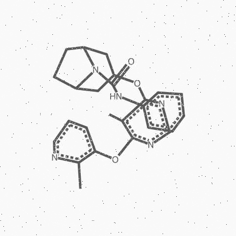 Cc1ncccc1Oc1ncnc(OC2CC3CCC(C2)N3C(=O)Nc2ccccc2)c1C